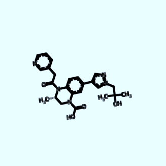 C[C@H]1CN(C(=O)O)c2cc(-c3cnn(CC(C)(C)O)c3)ccc2N1C(=O)Cc1cccnc1